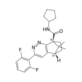 CC1(C)[C@@H]2CC[C@@]1(C(=O)NC1CCCC1)c1nnc(-c3c(F)cccc3F)cc12